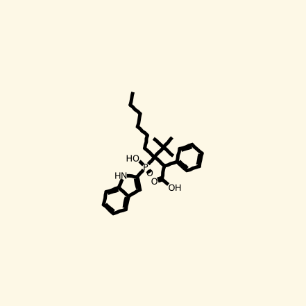 CCCCCCC(C(C(=O)O)c1ccccc1)(C(C)(C)C)P(=O)(O)c1cc2ccccc2[nH]1